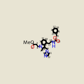 COC(=O)CCn1c(C)c(Cn2ccnc2)c2c(CCNC(=O)OCc3ccccc3)cccc21